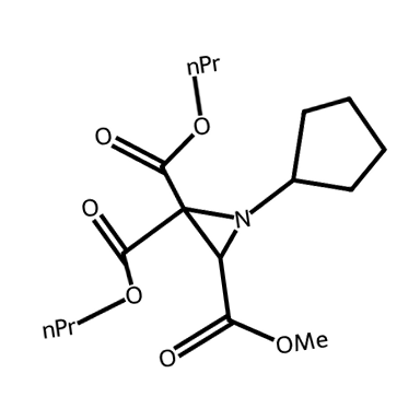 CCCOC(=O)C1(C(=O)OCCC)C(C(=O)OC)N1C1CCCC1